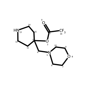 O=C(OC1(CN2CCOCC2)CCNCC1)C(F)(F)F